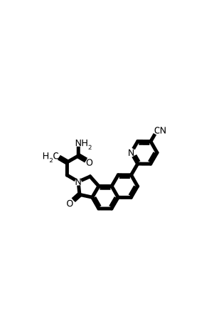 C=C(CN1Cc2c(ccc3ccc(-c4ccc(C#N)cn4)cc23)C1=O)C(N)=O